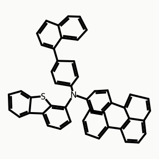 c1ccc(-c2cccc3cccc(-c4ccc(N(c5ccc(-c6cccc7ccccc67)cc5)c5cccc6c5sc5ccccc56)cc4)c23)cc1